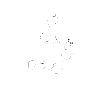 O=C(Nc1cncc(-c2ccc3[nH]nc(-c4cc5c(-c6ccncc6)cccc5[nH]4)c3c2)c1)C1CCCC1